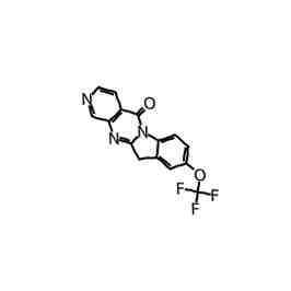 O=c1c2ccncc2nc2n1-c1ccc(OC(F)(F)F)cc1C2